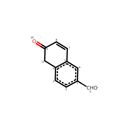 O=[C]c1ccc2c(c1)C=CC(=O)C2